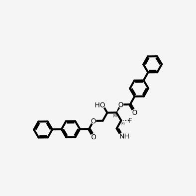 N=C[C@@H](F)[C@H](OC(=O)c1ccc(-c2ccccc2)cc1)C(O)COC(=O)c1ccc(-c2ccccc2)cc1